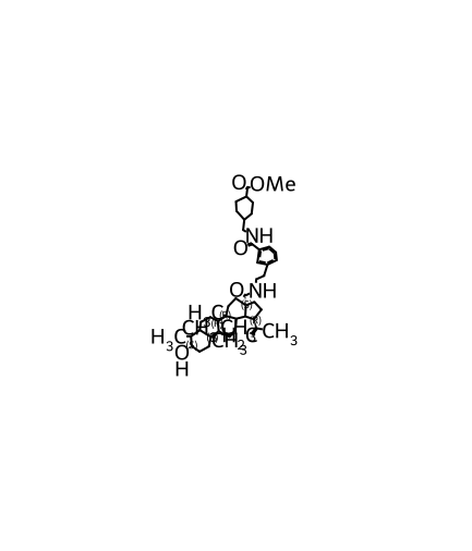 C=C(C)[C@@H]1CC[C@]2(C(=O)NCCc3cccc(C(=O)NCC4CCC(C(=O)OC)CC4)c3)CC[C@]3(C)C(CCC4[C@@]5(C)CC[C@H](O)C(C)(C)C5CC[C@]43C)C12